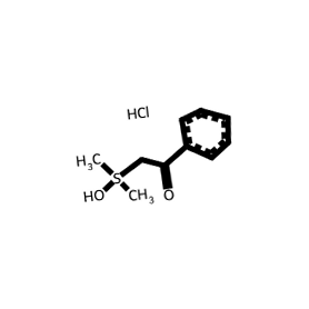 CS(C)(O)CC(=O)c1ccccc1.Cl